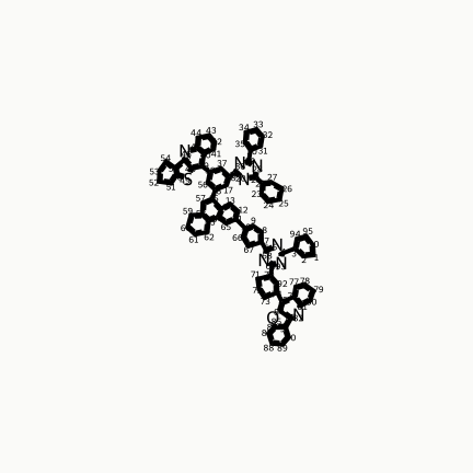 c1ccc(-c2nc(-c3ccc(-c4ccc5c(-c6cc(-c7nc(-c8ccccc8)nc(-c8ccccc8)n7)cc(-c7c8ccccc8nc8c7sc7ccccc78)c6)cc6ccccc6c5c4)cc3)nc(-c3cccc(-c4c5ccccc5nc5c4oc4ccccc45)c3)n2)cc1